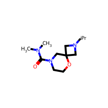 CC(C)N1CC2(CN(C(=O)N(C)C)CCO2)C1